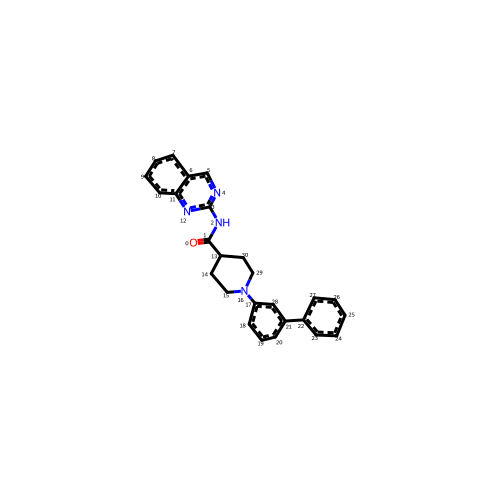 O=C(Nc1ncc2ccccc2n1)C1CCN(c2cccc(-c3ccccc3)c2)CC1